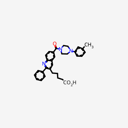 Cc1cccc(N2CCN(C(=O)c3ccc4nc(-c5ccccc5)c(CCCCC(=O)O)cc4c3)CC2)c1